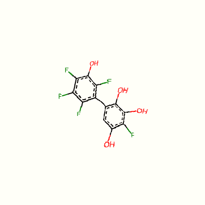 Oc1cc(-c2c(F)c(O)c(F)c(F)c2F)c(O)c(O)c1F